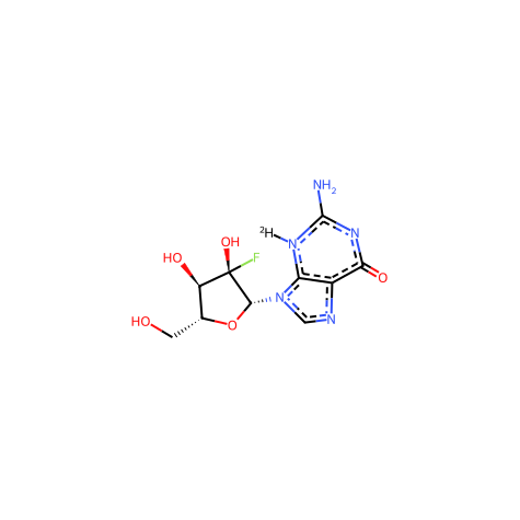 [2H]n1c(N)nc(=O)c2ncn([C@@H]3O[C@H](CO)[C@@H](O)[C@]3(O)F)c21